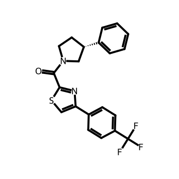 O=C(c1nc(-c2ccc(C(F)(F)F)cc2)cs1)N1CC[C@H](c2ccccc2)C1